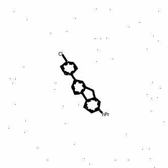 CCCc1ccc2c(c1)Cc1cc(-c3ccc(Cl)cc3)ccc1-2